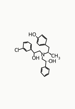 C[C@H](Cc1ccc(O)cc1)N(CC(O)c1cccc(Cl)c1)C[C@H](O)c1ccccc1